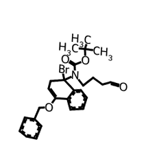 CC(C)(C)OC(=O)N(CCCC=O)C1(Br)CC=C(OCc2ccccc2)c2ccccc21